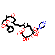 CCC(OC(=O)c1ccccc1)C(C)C1OC1CC(C)/C=C/C=C(\C)C1OC(=O)CC(O)CCC(C)(O)C(OC(=O)N2CCN(C)CC2)/C=C/C1C